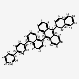 C1=CC(c2c3ccccc3c(-c3cccc4c(-c5ccc(-c6cccnc6)nc5)cccc34)c3ccccc23)Cc2ccccc21